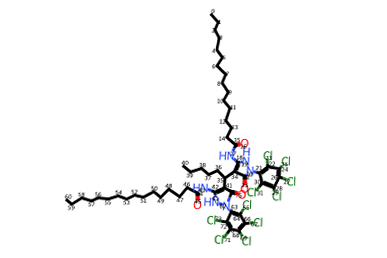 CCCCCCCCCCCCCCCC(=O)Nc1[nH]n(-c2c(Cl)c(Cl)c(Cl)c(Cl)c2Cl)c(=O)c1C(CCCCC)c1c(NC(=O)CCCCCCCCCCCCCCC)[nH]n(-c2c(Cl)c(Cl)c(Cl)c(Cl)c2Cl)c1=O